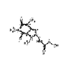 Cn1c(=O)c2c(nc(CNC(=O)OC(C)(C)C)n2C)n(C)c1=O